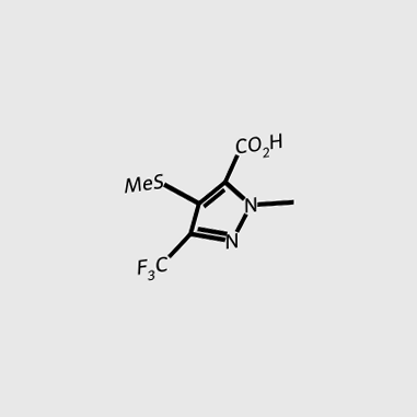 CSc1c(C(F)(F)F)nn(C)c1C(=O)O